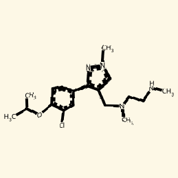 CNCCN(C)Cc1cn(C)nc1-c1ccc(OC(C)C)c(Cl)c1